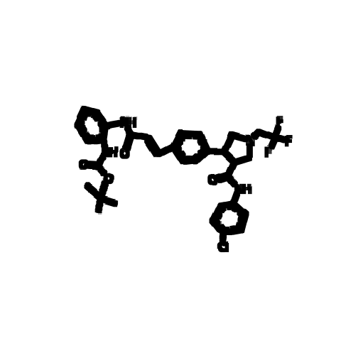 CC(C)(C)OC(=O)Nc1ccccc1NC(=O)/C=C/c1ccc(C2CN(CC(F)(F)F)CC2C(=O)Nc2ccc(Cl)cc2)cc1